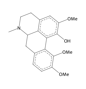 COc1cc2c3c(c1O)-c1c(ccc(OC)c1OC)CC3N(C)CC2